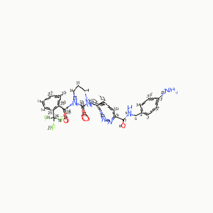 Nc1ccc(CNC(=O)c2ccc(N3CCCN(C(=O)c4ccccc4C(F)(F)F)C3=O)nn2)cc1